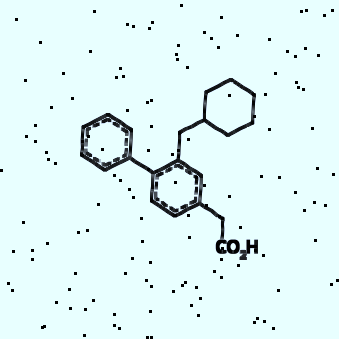 O=C(O)Cc1ccc(-c2ccccc2)c(CC2CCCCC2)c1